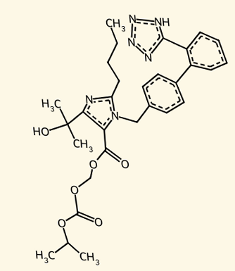 CCCCc1nc(C(C)(C)O)c(C(=O)OCOC(=O)OC(C)C)n1Cc1ccc(-c2ccccc2-c2nnn[nH]2)cc1